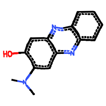 CN(C)c1cc2nc3ccccc3nc2cc1O